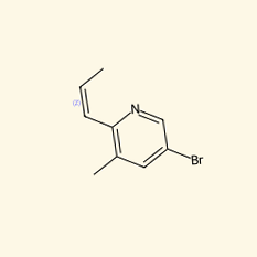 C/C=C\c1ncc(Br)cc1C